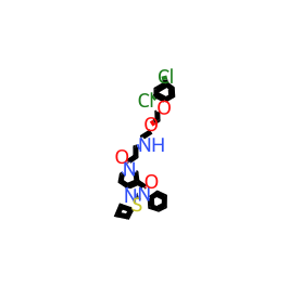 O=C(CCNCCOCCOc1ccc(Cl)cc1Cl)N1CCc2nc(SC3CCC3)n(-c3ccccc3)c(=O)c2C1